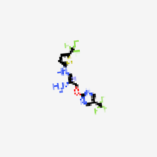 N/C(=C\Nc1ccc(C(F)(F)F)s1)COc1ncc(C(F)(F)F)cn1